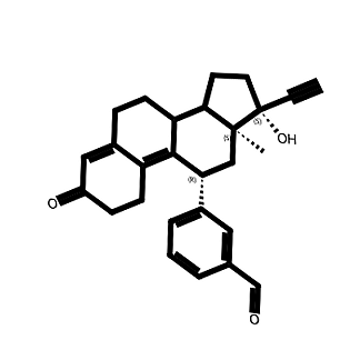 C#C[C@]1(O)CCC2C3CCC4=CC(=O)CCC4=C3[C@@H](c3cccc(C=O)c3)C[C@@]21C